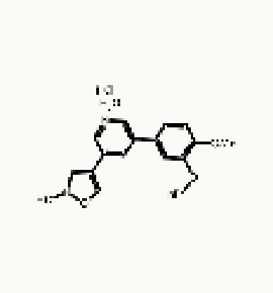 CCCOc1cc(-c2cncc(C3=COB(O)C3)c2)ccc1OC.Cl.O